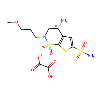 COCCCN1C[C@H](N)c2cc(S(N)(=O)=O)sc2S1(=O)=O.O=C(O)C(=O)O